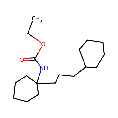 CCOC(=O)NC1(CCCC2CCCCC2)CCCCC1